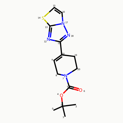 CC(C)(C)OC(=O)N1CC=C(c2nc3sccn3n2)CC1